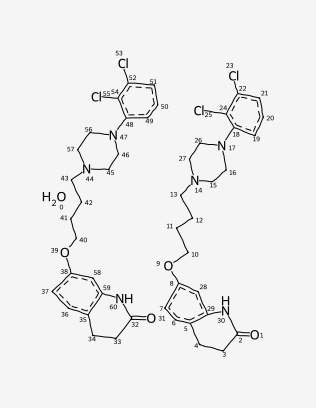 O.O=C1CCc2ccc(OCCCCN3CCN(c4cccc(Cl)c4Cl)CC3)cc2N1.O=C1CCc2ccc(OCCCCN3CCN(c4cccc(Cl)c4Cl)CC3)cc2N1